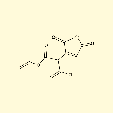 C=COC(=O)C(C(=C)Cl)C1=CC(=O)OC1=O